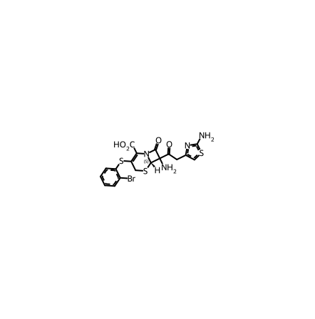 Nc1nc(CC(=O)C2(N)C(=O)N3C(C(=O)O)=C(Sc4ccccc4Br)CS[C@H]32)cs1